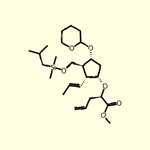 C=CC[C@@H](O[C@H]1C[C@@H](OC2CCCCO2)[C@H](CO[Si](C)(C)CC(C)C)[C@H]1C=CC)C(=O)OC